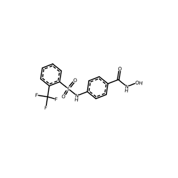 O=C(NO)c1ccc(NS(=O)(=O)c2ccccc2C(F)(F)F)cc1